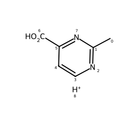 Cc1nccc(C(=O)O)n1.[H+]